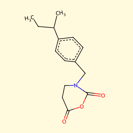 CCC(C)c1ccc(CN2CCC(=O)OC2=O)cc1